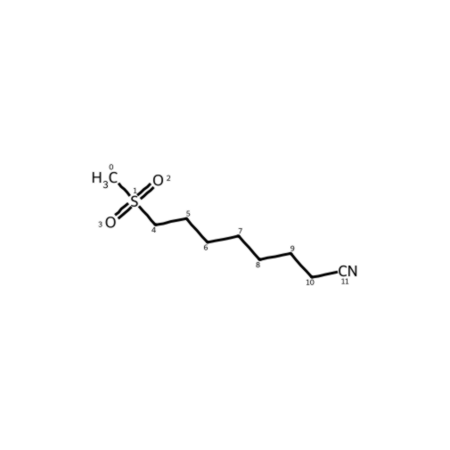 CS(=O)(=O)CCCCCCCC#N